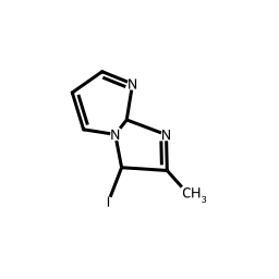 CC1=NC2N=CC=CN2C1I